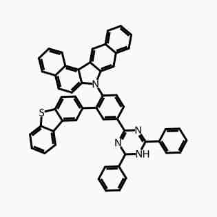 c1ccc(C2=NC(c3ccc(-n4c5cc6ccccc6cc5c5c6ccccc6ccc54)c(-c4ccc5sc6ccccc6c5c4)c3)=NC(c3ccccc3)N2)cc1